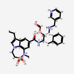 CCc1cn2c3c(cc(C(=O)N[C@@H](Cc4ccccc4)[C@@H](CNCc4cccnc4)OC=O)cc13)N(C)S(=O)(=O)CC2